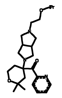 CC(C)OCCN1CC2CN(C3(C(=O)c4ccccn4)CCOC(C)(C)C3)CC2C1